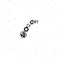 CC1(C)OB(c2ccc(OC[C@@H]3CCNC3)cc2)OC1(C)C